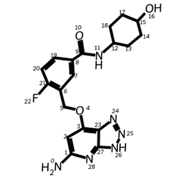 Nc1cc(OCc2cc(C(=O)NC3CCC(O)CC3)ccc2F)c2nn[nH]c2n1